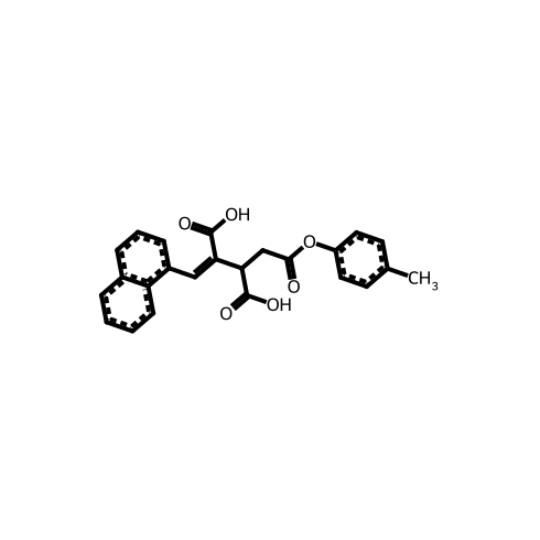 Cc1ccc(OC(=O)CC(C(=O)O)C(=Cc2cccc3ccccc23)C(=O)O)cc1